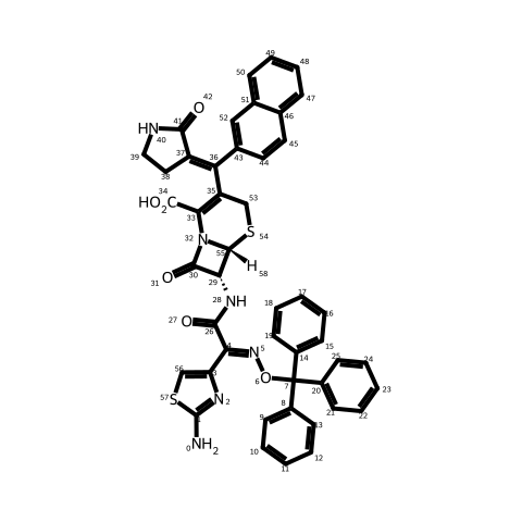 Nc1nc(C(=NOC(c2ccccc2)(c2ccccc2)c2ccccc2)C(=O)N[C@@H]2C(=O)N3C(C(=O)O)=C(C(=C4CCNC4=O)c4ccc5ccccc5c4)CS[C@H]23)cs1